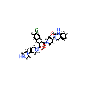 Cc1cc(CC(CC(=O)N2CCC(N3Cc4ccccc4NC3=O)CC2)C(=O)N2CCC(N3CCNCC3)CC2)ccc1Cl